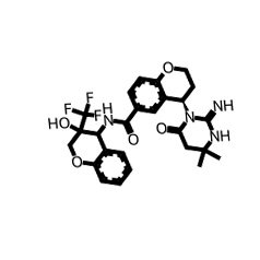 CC1(C)CC(=O)N([C@@H]2CCOc3ccc(C(=O)NC4c5ccccc5OCC4(O)C(F)(F)F)cc32)C(=N)N1